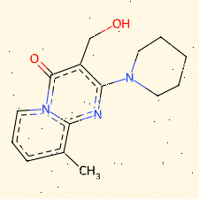 Cc1cccn2c(=O)c(CO)c(N3CCCCC3)nc12